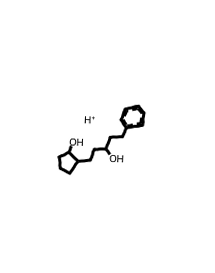 OC(CCc1ccccc1)CCC1CCCC1O.[H+]